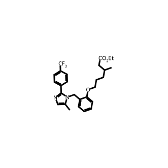 CCOC(=O)CC(C)CCCOc1ccccc1Cn1c(C)cnc1-c1ccc(C(F)(F)F)cc1